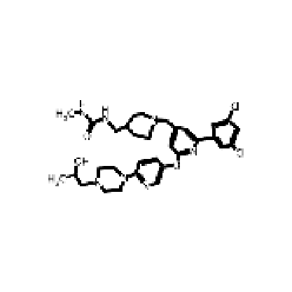 CNC(=O)NCC1CCN(Cc2cc(Oc3ccc(N4CCN(C[C@@H](C)O)CC4)nc3)nc(-c3cc(Cl)cc(Cl)c3)c2)CC1